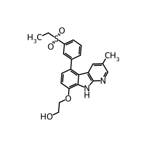 CCS(=O)(=O)c1cccc(-c2ccc(OCCO)c3[nH]c4ncc(C)cc4c23)c1